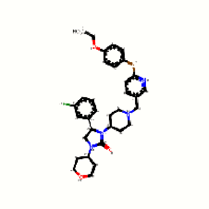 O=C(O)COc1ccc(Sc2ccc(CN3CCC(N4C(=O)N(C5CCOCC5)C[C@H]4c4cccc(F)c4)CC3)cn2)cc1